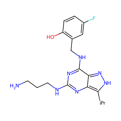 CC(C)c1[nH]nc2c(NCc3cc(F)ccc3O)nc(NCCCN)nc12